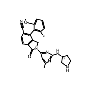 COc1cccc(F)c1-c1c(C#N)ccc2c1CN(c1cc(C)nc(N[C@H]3CCNC3)n1)C2=O